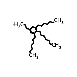 [CH2]CCc1cc(CCCCCCC)c(CCCCCCC)c(CCCCCCC)c1